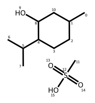 CC1CCC(C(C)C)C(O)C1.CS(=O)(=O)O